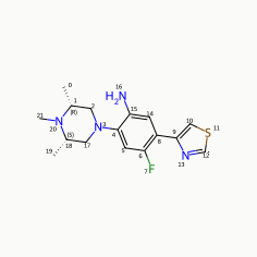 C[C@@H]1CN(c2cc(F)c(-c3cs[c]n3)cc2N)C[C@H](C)N1C